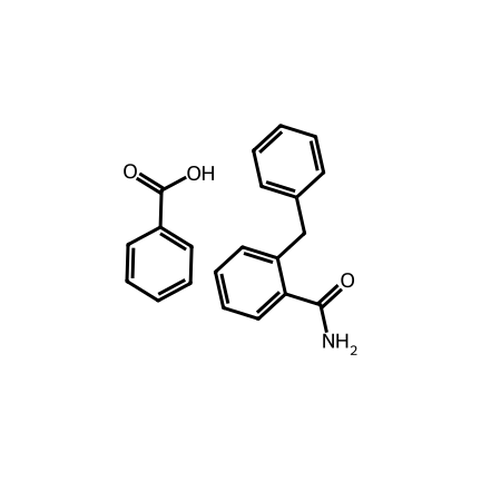 NC(=O)c1ccccc1Cc1ccccc1.O=C(O)c1ccccc1